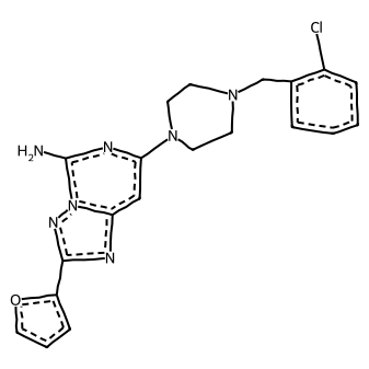 Nc1nc(N2CCN(Cc3ccccc3Cl)CC2)cc2nc(-c3ccco3)nn12